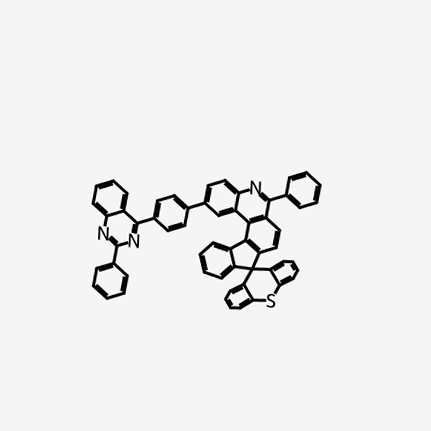 c1ccc(-c2nc(-c3ccc(-c4ccc5nc(-c6ccccc6)c6ccc7c(c6c5c4)-c4ccccc4C74c5ccccc5Sc5ccccc54)cc3)c3ccccc3n2)cc1